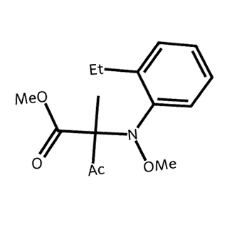 CCc1ccccc1N(OC)C(C)(C(C)=O)C(=O)OC